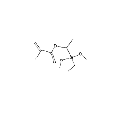 C=C(C)C(=O)OC(C)[Si](CC)(OC)OC